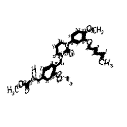 CCCCCOc1cc(N2CCCN(Cc3ccc(CNC(=O)OC)cc3OC)C2=O)ccc1OC